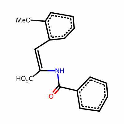 COc1ccccc1C=C(NC(=O)c1ccccc1)C(=O)O